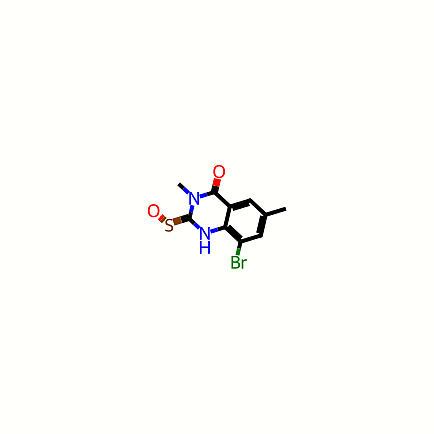 Cc1cc(Br)c2[nH]c(=S=O)n(C)c(=O)c2c1